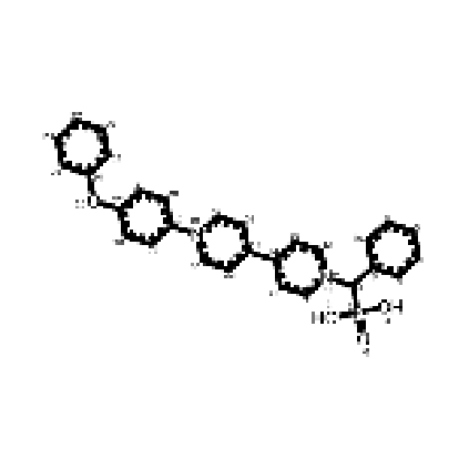 O=P(O)(O)C(c1ccccc1)[n+]1ccc(-c2cc[n+](-c3ccc(Oc4ccccc4)cc3)cc2)cc1